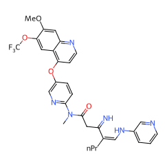 CCC/C(=C/Nc1cccnc1)C(=N)CC(=O)N(C)c1ccc(Oc2ccnc3cc(OC)c(OC(F)(F)F)cc23)cn1